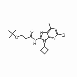 Cc1cc(Cl)nc2c1nc(NC(=O)CCOC(C)(C)C)n2C1CCC1